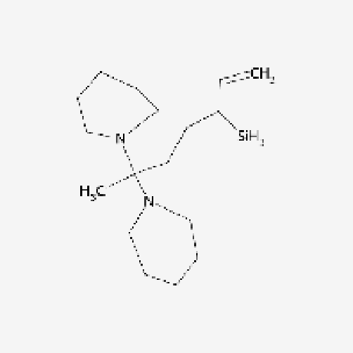 C=CC([SiH3])CCC(C)(N1CCCCC1)N1CCCCC1